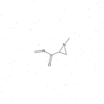 C=NC(=O)C1CN1C